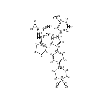 N#CC1(NC(=O)[C@@H]2CCCC[C@H]2c2nn(-c3cncc(Cl)c3)cc2-c2ccc(N3CCS(=O)(=O)CC3)cc2)CC1